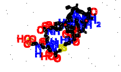 CC[C@H]1c2cc3[nH]c4c(c3C)C(=O)C(C(=O)OC)c4c3nc(cc4[nH]c(cc(n2)[C@@H]1C)c(C(C)=O)c4C)[C@@H](C)[C@@H]3CCC(=O)NCCSSC[C@H](NC(=O)[C@H](CC(=O)NCCS(=O)(=O)O)NC(=O)CC[C@H](NC(=O)c1ccc(NCc2cnc3nc(N)[nH]c(=O)c3n2)cc1)C(=O)O)C(=O)O